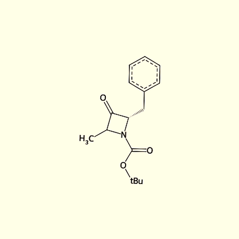 CC1C(=O)[C@H](Cc2ccccc2)N1C(=O)OC(C)(C)C